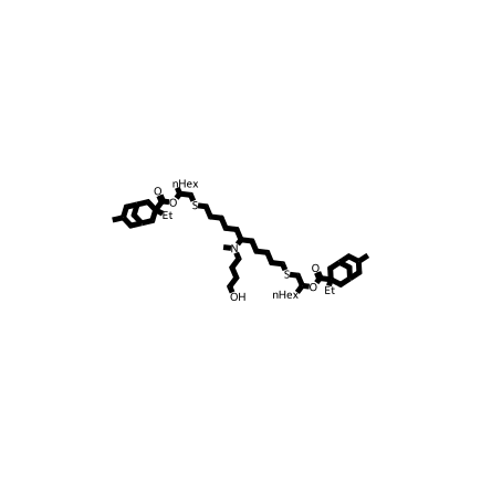 CCCCCCC(CSCCCCCC(CCCCCSCC(CCCCCC)OC(=O)C1(CC)CC2CC(C)CC(C2)C1)N(C)CCCCO)OC(=O)C1(CC)CC2CC(C)CC(C2)C1